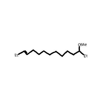 [CH2]CC(CCCCCCCCC=CCC)OC